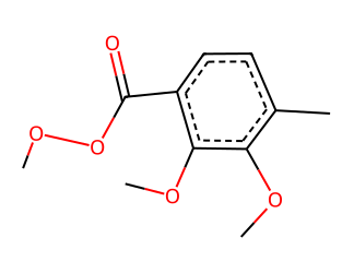 COOC(=O)c1ccc(C)c(OC)c1OC